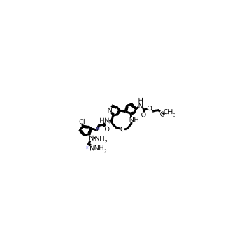 COCCOC(=O)Nc1ccc2c(c1)NCCCCC[C@H](NC(=O)/C=C/c1cc(Cl)ccc1N(N)/C=N\N)c1cc-2ccn1